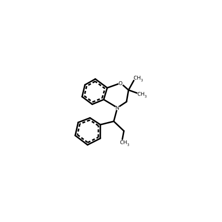 CCC(c1ccccc1)N1CC(C)(C)Oc2ccccc21